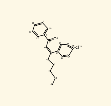 CCCCCC(=CC(=O)c1ccccc1)c1ccc(Cl)cc1